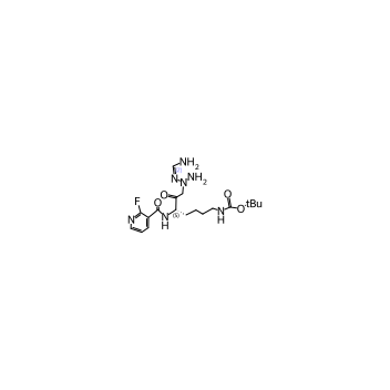 CC(C)(C)OC(=O)NCCCC[C@H](NC(=O)c1cccnc1F)C(=O)CN(N)/N=C\N